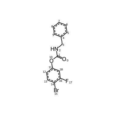 O=C(NCc1ccccc1)Oc1ccc(Br)c(F)c1